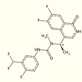 C[C@H](c1c[nH]c(=O)c2cc(F)c(F)cc12)N(C)C(=O)Nc1ccc(F)c(C(F)F)c1